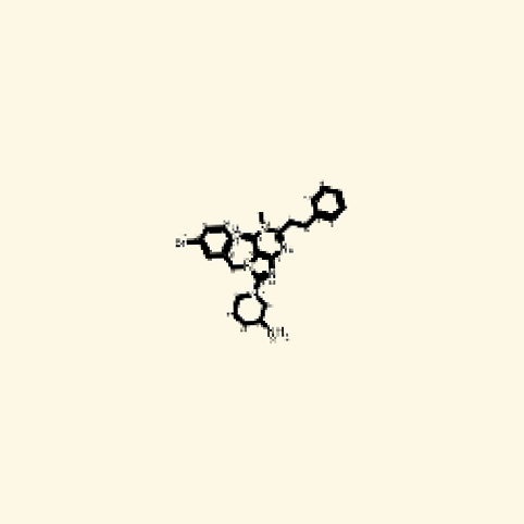 Cn1c(CCc2ccccc2)nc2nc(N3CCCC(N)C3)n(Cc3cccc(Br)c3)c2c1=O